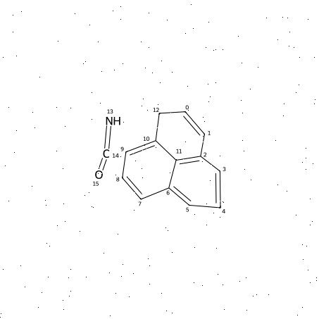 C1=Cc2cccc3cccc(c23)C1.N=C=O